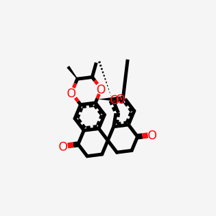 CC1Oc2cc3c(cc2O[C@H]1C)C(=O)CCC31CCC(=O)c2cc3c(cc21)O[C@H](C)C(C)O3